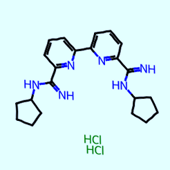 Cl.Cl.N=C(NC1CCCC1)c1cccc(-c2cccc(C(=N)NC3CCCC3)n2)n1